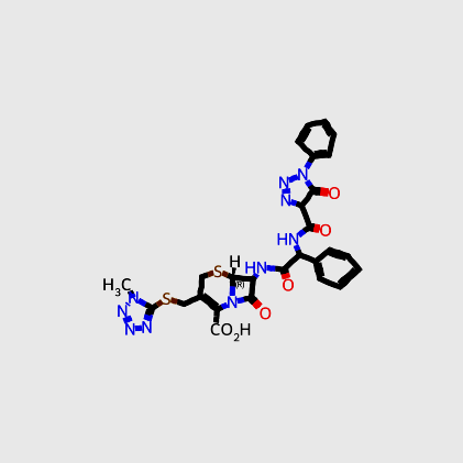 Cn1nnnc1SCC1=C(C(=O)O)N2C(=O)C(NC(=O)C(NC(=O)C3N=NN(c4ccccc4)C3=O)c3ccccc3)[C@H]2SC1